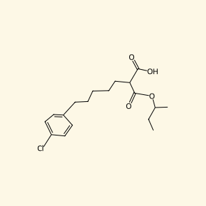 CCC(C)OC(=O)C(CCCCCc1ccc(Cl)cc1)C(=O)O